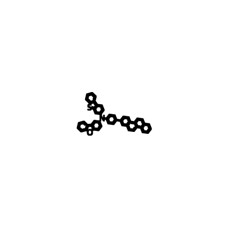 c1ccc2c(c1)ccc1c3ccc(-c4ccc(N(c5ccc6c(c5)sc5ccccc56)c5ccc6oc7ccccc7c6c5)cc4)cc3ccc21